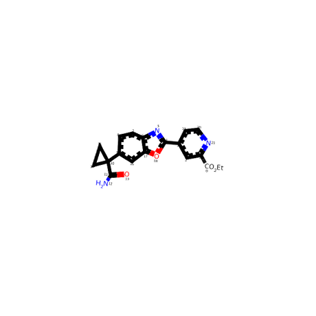 CCOC(=O)c1cc(-c2nc3ccc(C4(C(N)=O)CC4)cc3o2)ccn1